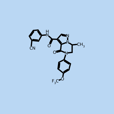 CC1CN(c2ccc(OC(F)(F)F)cc2)C(=O)c2c(C(=O)Nc3cccc(C#N)c3)cnn21